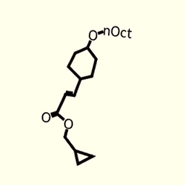 CCCCCCCCOC1CCC(C=CC(=O)OCC2CC2)CC1